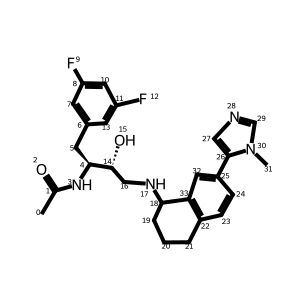 CC(=O)N[C@@H](Cc1cc(F)cc(F)c1)[C@H](O)CNC1CCCc2ccc(-c3cncn3C)cc21